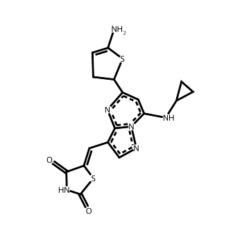 NC1=CCC(c2cc(NC3CC3)n3ncc(/C=C4\SC(=O)NC4=O)c3n2)S1